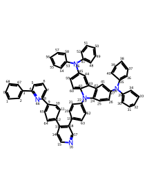 c1ccc(-c2cccc(-c3ccc(-c4ccncc4-c4ccc(-n5c6ccc(N(c7ccccc7)c7ccccc7)cc6c6cc(N(c7ccccc7)c7ccccc7)ccc65)cc4)cc3)n2)cc1